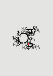 [2H]C1(O)C(O[C@@H]2[C@@H](C)[C@H](OC3CC(C)(OC)C([2H])(O)C(C)O3)[C@@H](C)C(=O)O[C@H](CC)[C@@](C)(O)[C@]([2H])(O)[C@@H](C)N(C)C[C@H](C)C[C@@]2(C)O)OC(C)CC1N(C)C